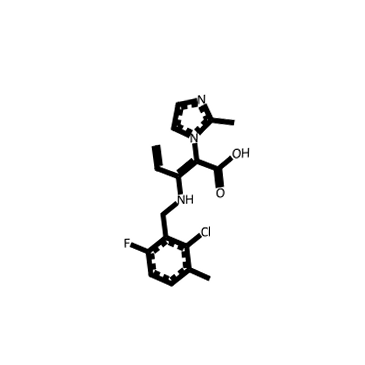 C=C/C(NCc1c(F)ccc(C)c1Cl)=C(/C(=O)O)n1ccnc1C